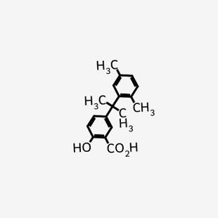 Cc1ccc(C)c(C(C)(C)c2ccc(O)c(C(=O)O)c2)c1